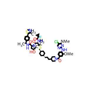 CNc1nc(Nc2ccc(C(=O)N3CCC(CCC[C@H]4CC[C@H](CSC(C)(C)[C@H](NC(=O)C5(F)CC5)C(=O)N5C[C@H](O)CC5C(=O)N[C@@H](C)c5ccc(-c6scnc6C)cc5)CC4)CC3)cc2OC)ncc1Cl